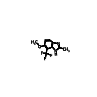 COc1ccc2nc(C)[nH]c2c1C(F)(F)F